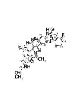 C=C(c1c(/C(N)=N\C)c(-c2cc(F)c(NS(=O)(=O)Cc3ccccc3F)cc2F)nn1C(C)C)[C@H]1CC[C@H](NCCOC)CC1